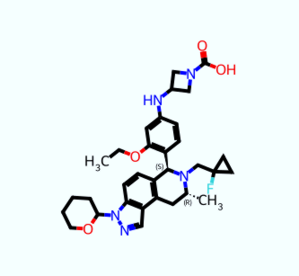 CCOc1cc(NC2CN(C(=O)O)C2)ccc1[C@@H]1c2ccc3c(cnn3C3CCCCO3)c2C[C@@H](C)N1CC1(F)CC1